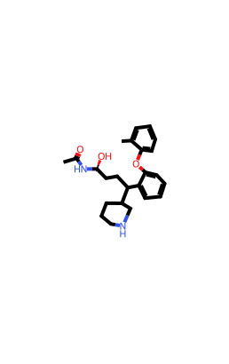 CC(=O)N[C@@H](O)CCC(c1ccccc1Oc1ccccc1C)C1CCCNC1